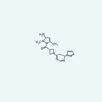 CC1=CC(N)N(C)N1C(=O)C1CN(C2=NC=NC(n3cccn3)C2)C1